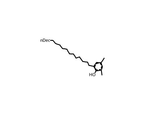 CCCCCCCCCCCCCCCCCCCCCCc1cc(C)cc(C)c1O